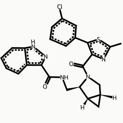 Cc1nc(C(=O)N2C[C@@H]3C[C@@H]3[C@H]2CNC(=O)c2n[nH]c3ccccc23)c(-c2cccc(Cl)c2)s1